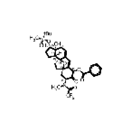 CN(C(=O)C(F)(F)F)[C@H]1C[C@@]23CC[C@@]4(O2)C(=CC[C@]2(C)[C@@H](O[Si](C)(C)C(C)(C)C)CC[C@H]24)C=C3[C@@H](OC(=O)c2ccccc2)C1=O